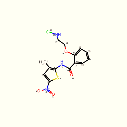 Cc1cc([N+](=O)[O-])sc1NC(=O)c1ccccc1OCCNCl